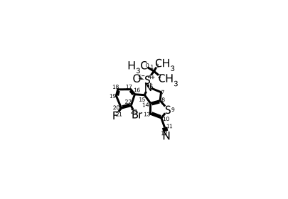 CC(C)(C)[S@@+]([O-])N1Cc2sc(C#N)cc2C1c1cccc(F)c1Br